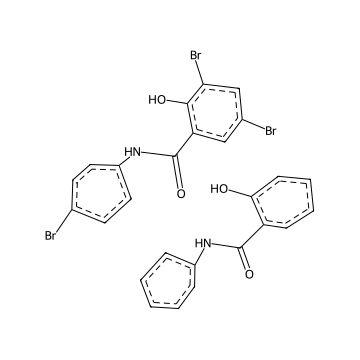 O=C(Nc1ccc(Br)cc1)c1cc(Br)cc(Br)c1O.O=C(Nc1ccccc1)c1ccccc1O